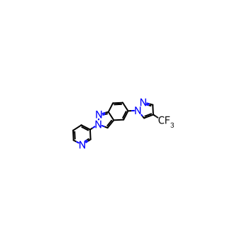 FC(F)(F)c1cnn(-c2ccc3nn(-c4cccnc4)cc3c2)c1